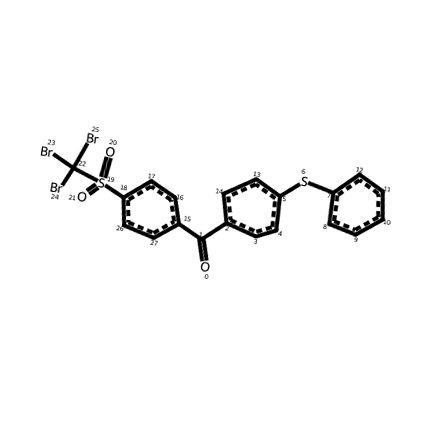 O=C(c1ccc(Sc2ccccc2)cc1)c1ccc(S(=O)(=O)C(Br)(Br)Br)cc1